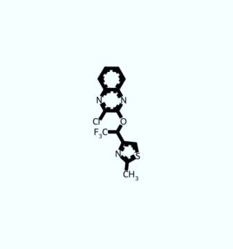 Cc1nc(C(Oc2nc3ccccc3nc2Cl)C(F)(F)F)cs1